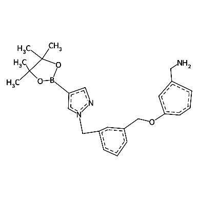 CC1(C)OB(c2cnn(Cc3cccc(COc4cccc(CN)c4)c3)c2)OC1(C)C